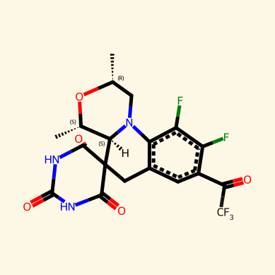 C[C@@H]1CN2c3c(cc(C(=O)C(F)(F)F)c(F)c3F)CC3(C(=O)NC(=O)NC3=O)[C@H]2[C@H](C)O1